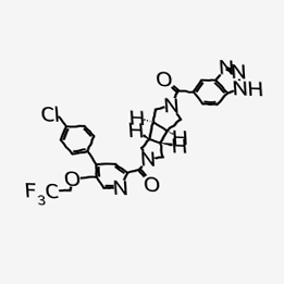 O=C(c1ccc2[nH]nnc2c1)N1C[C@@H]2[C@H](C1)[C@H]1CN(C(=O)c3cc(-c4ccc(Cl)cc4)c(OCC(F)(F)F)cn3)C[C@@H]21